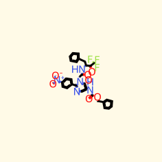 O=C(Cn1c(-c2ccc([N+](=O)[O-])cc2)ncc(NC(=O)OCc2ccccc2)c1=O)NC(Cc1ccccc1)C(=O)C(F)(F)F